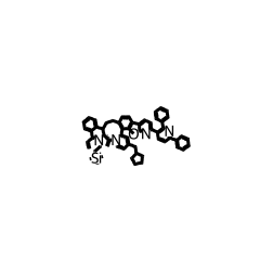 C=CC1=[N+](CC[Si](C)(C)C)C2C(=C)[n+]3ccc(CC4CCCC4)cc3-c3c(ccc4c3oc3nc(-c5ccc(-c6ccccc6)nc5-c5ccccc5)ccc34)CCC2c2ccccc21